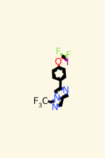 FC(F)(I)Oc1ccc(-c2cn3c(C(F)(F)F)ncc3cn2)cc1